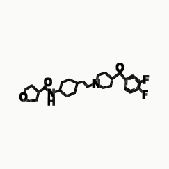 O=C(NC1CCC(CCN2CCC(C(=O)c3ccc(F)c(F)c3)CC2)CC1)C1CCOCC1